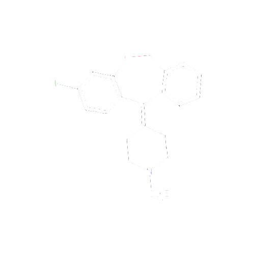 CCOC(=O)N1CCC(=C2c3ccccc3COc3cc(Cl)ccc32)CC1